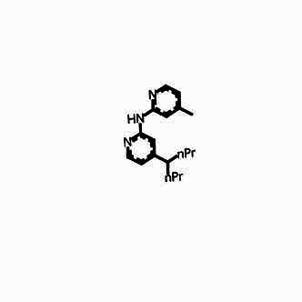 CCCC(CCC)c1ccnc(Nc2cc(C)ccn2)c1